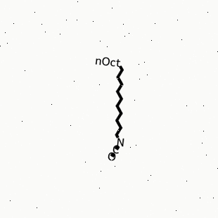 [CH2]CCCCCCCCCCCCCCCCCN=C=O